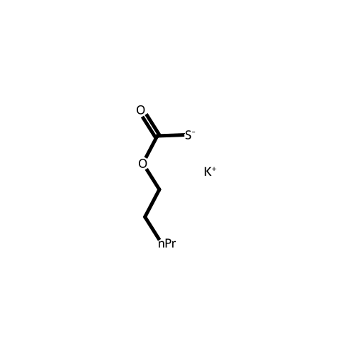 CCCCCOC(=O)[S-].[K+]